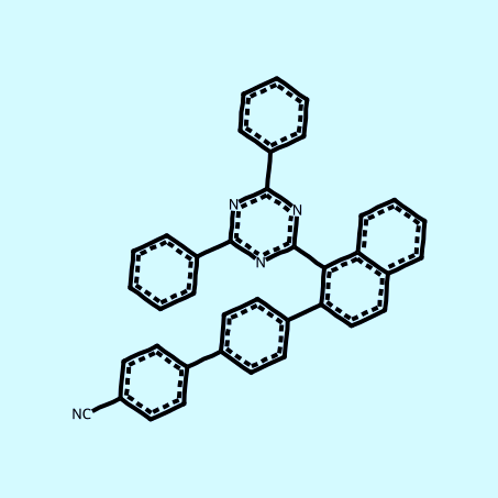 N#Cc1ccc(-c2ccc(-c3ccc4ccccc4c3-c3nc(-c4ccccc4)nc(-c4ccccc4)n3)cc2)cc1